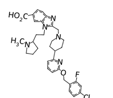 CN1CCCC1CCn1c(CN2CCC(c3cccc(OCc4ccc(Cl)cc4F)n3)CC2)nc2ccc(C(=O)O)cc21